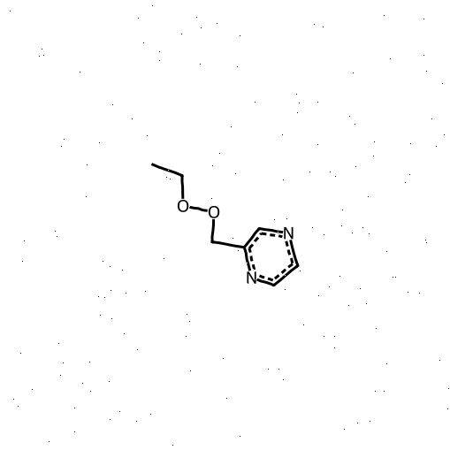 CCOOCc1cnccn1